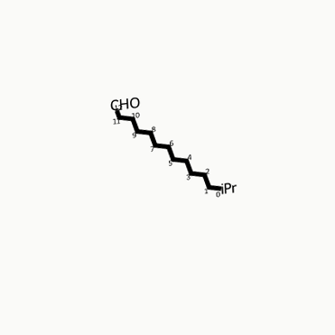 CC(C)CCCCCCCCCCCC=O